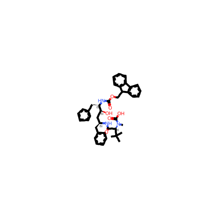 CN(C(=O)O)[C@H](C(=O)N[C@@H](Cc1ccccc1)C[C@H](O)[C@H](Cc1ccccc1)NC(=O)OCC1c2ccccc2-c2ccccc21)C(C)(C)C